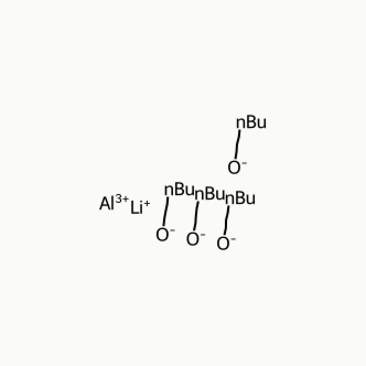 CCCC[O-].CCCC[O-].CCCC[O-].CCCC[O-].[Al+3].[Li+]